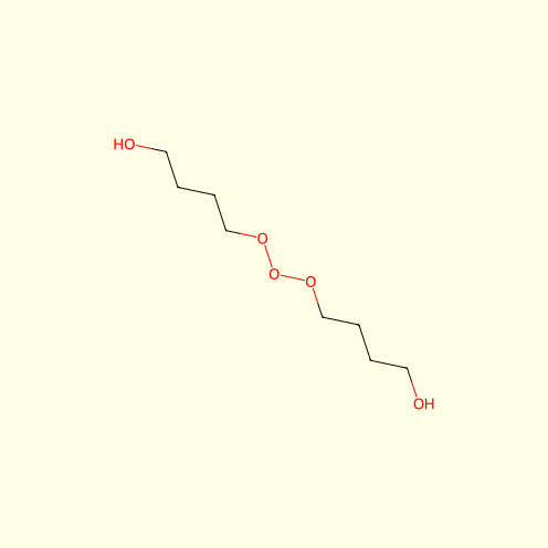 OCCCCOOOCCCCO